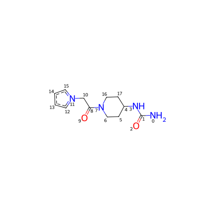 NC(=O)NC1CCN(C(=O)Cn2cccc2)CC1